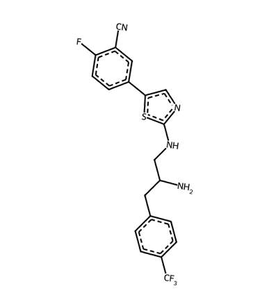 N#Cc1cc(-c2cnc(NCC(N)Cc3ccc(C(F)(F)F)cc3)s2)ccc1F